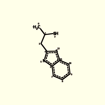 [CH2]C(S)Cc1nc2ccccc2s1